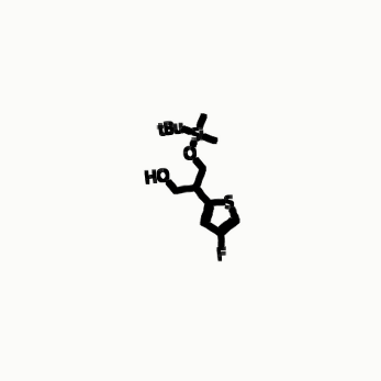 CC(C)(C)[Si](C)(C)OCC(CO)c1cc(F)cs1